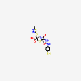 Cc1nnc(SCC2(C(=O)O)CS[C@@H]3C(NC(=O)Nc4ccc(S)cc4)C(=O)N3C2)s1